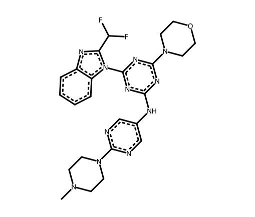 CN1CCN(c2ncc(Nc3nc(N4CCOCC4)nc(-n4c(C(F)F)nc5ccccc54)n3)cn2)CC1